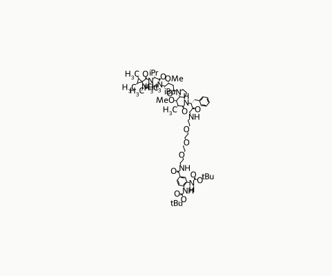 CCC(C)[C@@H]([C@@H](CC(=O)N1CCCC1[C@H](OC)C(C)C(=O)N[C@H](Cc1ccccc1)C(=O)CNCCOCCOCCOCCNC(=O)c1ccc(NC(=O)OC(C)(C)C)c(NC(=O)OC(C)(C)C)c1)OC)N(C)C(=O)[C@H](NC(=O)C1(N(C)C)C(C)C1C)C(C)C